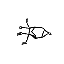 N#CC1(C#N)C2CC(C3OC32)C1(Cl)Cl